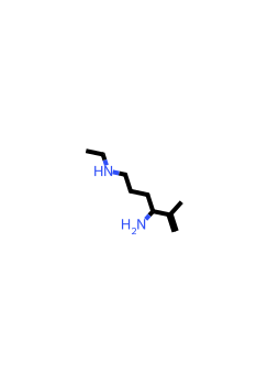 C=C(C)C(N)CCCNCC